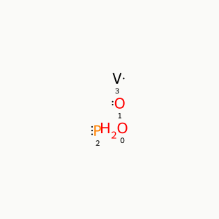 O.[O].[P].[V]